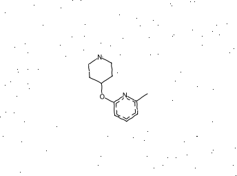 Cc1cccc(OC2CC[N]CC2)n1